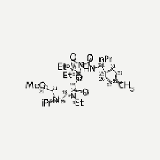 CCC[C@@H](NC(=O)N1C(=O)C(CC)(CC)[C@@H]1OCC(=O)N(CC)CCN(CCOC)C(C)C)c1ccc(C)cc1